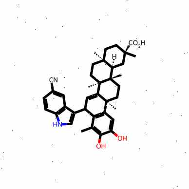 Cc1c(O)c(O)cc2c1C(c1c[nH]c3ccc(C#N)cc13)C=C1[C@@]2(C)CC[C@@]2(C)[C@@H]3C[C@](C)(C(=O)O)CC[C@]3(C)CC[C@]12C